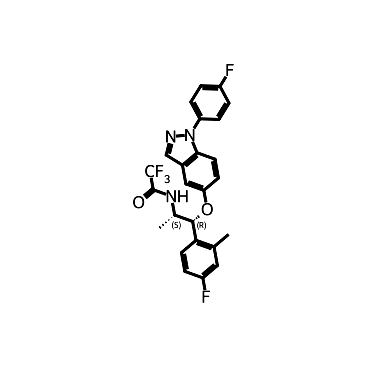 Cc1cc(F)ccc1[C@@H](Oc1ccc2c(cnn2-c2ccc(F)cc2)c1)[C@H](C)NC(=O)C(F)(F)F